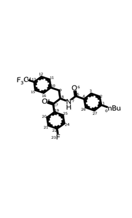 CCCCc1ccc(C(=O)NC(Cc2ccc(C(F)(F)F)cc2)C(=O)c2ccc(F)cc2)cc1